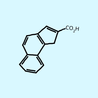 O=C(O)C1=Cc2ccc3ccccc3c2C1